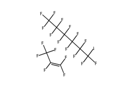 FC(F)(F)C(F)(F)C(F)(F)C(F)(F)C(F)(F)C(F)(F)I.FC(F)=C(F)C(F)(F)F